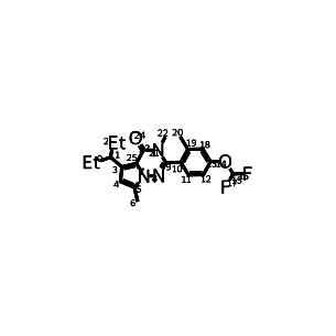 CCC(CC)c1cc(C)n2nc(-c3ccc(OC(F)F)cc3C)n(C)c(=O)c12